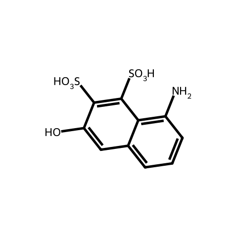 Nc1cccc2cc(O)c(S(=O)(=O)O)c(S(=O)(=O)O)c12